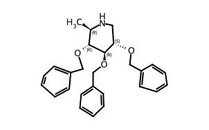 C[C@H]1NC[C@H](OCc2ccccc2)[C@@H](OCc2ccccc2)[C@@H]1OCc1ccccc1